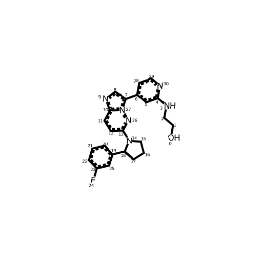 OCCNc1cc(-c2cnc3ccc(N4CCCC4c4cccc(F)c4)nn23)ccn1